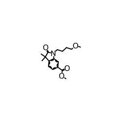 COCCCCN1C(=O)C(C)(C)c2ccc(C(=O)OC)cc21